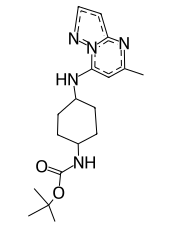 Cc1cc(NC2CCC(NC(=O)OC(C)(C)C)CC2)n2nccc2n1